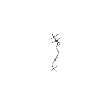 CC(C)(C)CC#CCCO[Si](C)(C)C(C)(C)C